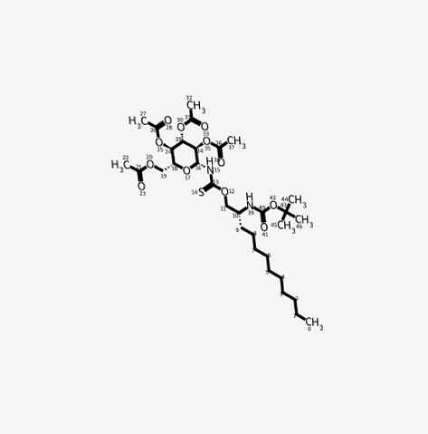 CCCCCCCCCC[C@H](COC(=S)N[C@@H]1O[C@H](COC(C)=O)[C@@H](OC(C)=O)[C@H](OC(C)=O)[C@H]1OC(C)=O)NC(=O)OC(C)(C)C